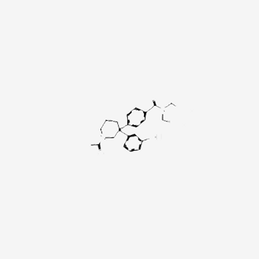 CCN(CC)C(=O)c1ccc(C2(c3cccc(O)c3)CCCN(C(C)=O)C2)cc1